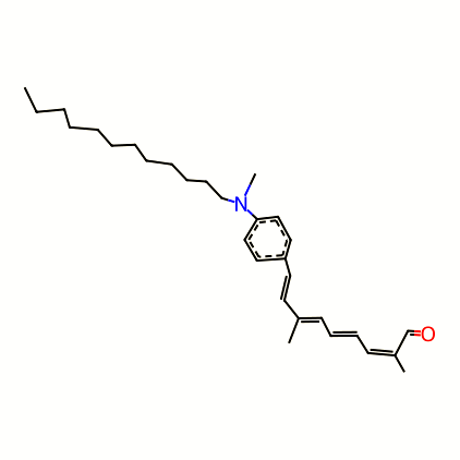 CCCCCCCCCCCCN(C)c1ccc(C=CC(C)=CC=CC=C(C)C=O)cc1